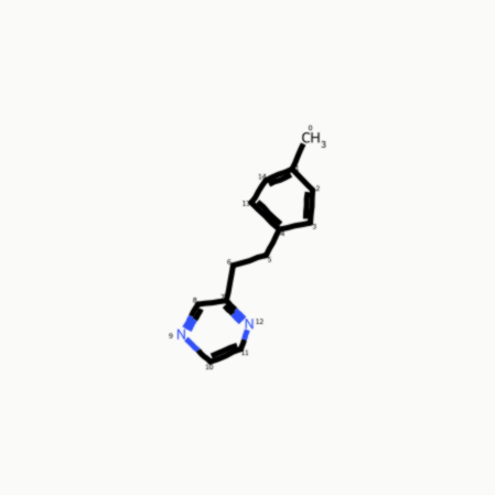 Cc1ccc(CCc2cnccn2)cc1